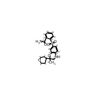 CC1(C2CCOCC2)CNc2ccc(S(=O)(=O)c3ccccc3C(N)=O)cc2O1